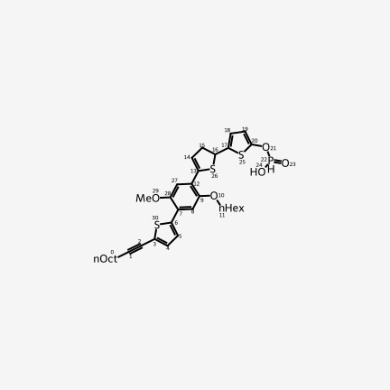 CCCCCCCCC#Cc1ccc(-c2cc(OCCCCCC)c(C3=CCC(c4ccc(O[PH](=O)O)s4)S3)cc2OC)s1